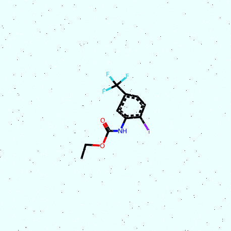 CCOC(=O)Nc1cc(C(F)(F)F)ccc1I